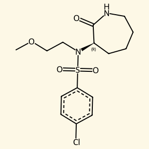 COCCN([C@@H]1CCCCNC1=O)S(=O)(=O)c1ccc(Cl)cc1